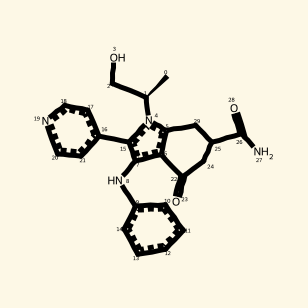 C[C@H](CO)n1c2c(c(Nc3ccccc3)c1-c1ccncc1)C(=O)CC(C(N)=O)C2